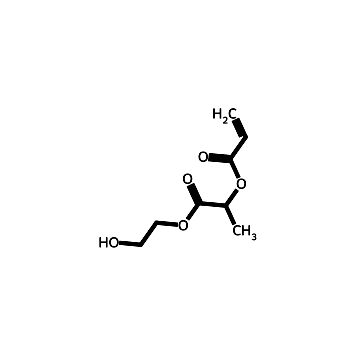 C=CC(=O)OC(C)C(=O)OCCO